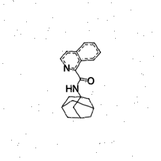 O=C(NC12CC3CC(CC(C3)C1)C2)c1nccc2ccccc12